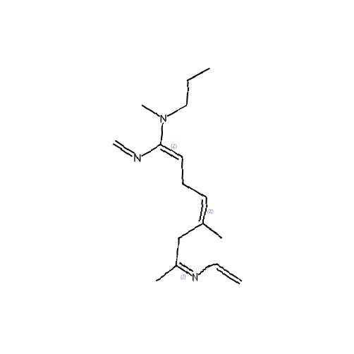 C=C/N=C(/C)C/C(C)=C\C/C=C(\N=C)N(C)CCC